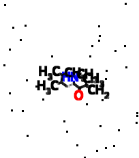 C=C(C)C(=O)[C@H](CC(C)C(C)C)NC